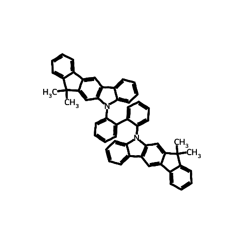 CC1(C)c2ccccc2-c2cc3c4ccccc4n(-c4ccccc4-c4ccccc4-n4c5ccccc5c5cc6c(cc54)C(C)(C)c4ccccc4-6)c3cc21